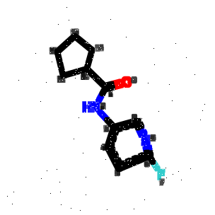 O=C(Nc1ccc(F)nc1)C1CCCC1